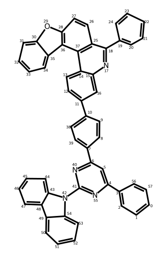 c1ccc(-c2cc(-c3ccc(-c4ccc5c(c4)nc(-c4ccccc4)c4ccc6oc7ccccc7c6c45)cc3)nc(-n3c4ccccc4c4ccccc43)n2)cc1